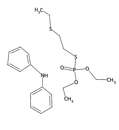 CCOP(=O)(OCC)SCCSCC.c1ccc(Nc2ccccc2)cc1